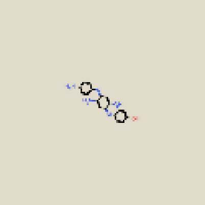 N=C1C=C(N)/C(=N\c2ccc(N)cc2)C=C1Nc1cccc(O)c1